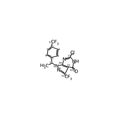 CC(c1ccc(C(F)(F)F)cc1)n1nc(C(F)(F)F)c2c(=O)[nH]c(Cl)nc21